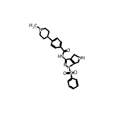 CN1CCC(c2ccc(C(=O)Nc3nn(S(=O)(=O)c4ccccc4)c4c3CNC4)cc2)CC1